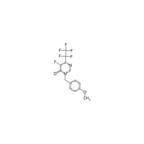 COc1ccc(Cn2cnc(C(F)(F)C(F)(F)F)c(F)c2=O)cc1